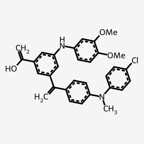 C=C(O)c1cc(Nc2ccc(OC)c(OC)c2)cc(C(=C)c2ccc(N(C)c3ccc(Cl)cc3)cc2)c1